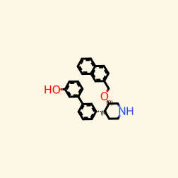 Oc1cccc(-c2cccc([C@H]3CCNC[C@@H]3OCc3ccc4ccccc4c3)c2)c1